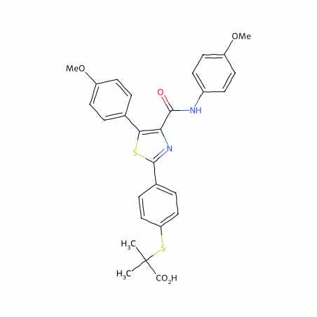 COc1ccc(NC(=O)c2nc(-c3ccc(SC(C)(C)C(=O)O)cc3)sc2-c2ccc(OC)cc2)cc1